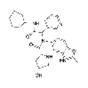 Cc1nc2ccc(N(C(=O)[C@H]3C[C@@H](O)CN3)C(C(=O)NC3CCCCC3)c3cccnc3)cc2[nH]1